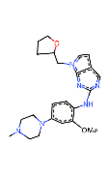 COc1cc(N2CCN(C)CC2)ccc1Nc1ncc2ccn(CC3CCCO3)c2n1